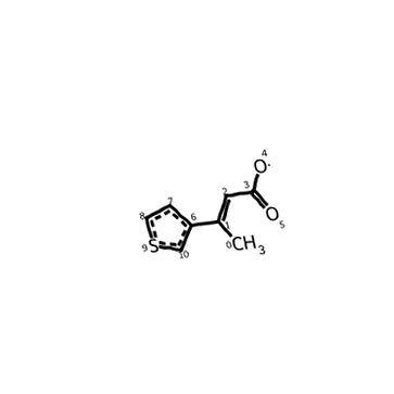 CC(=CC([O])=O)c1ccsc1